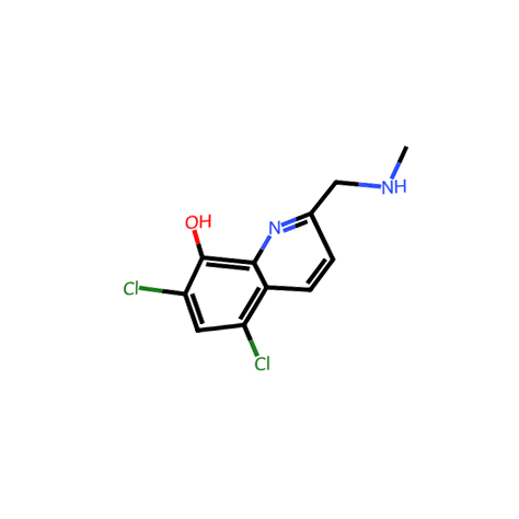 CNCc1ccc2c(Cl)cc(Cl)c(O)c2n1